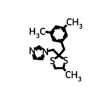 Cc1cc(C)cc(CC2(Cn3ccnc3)SCC(C)S2)c1